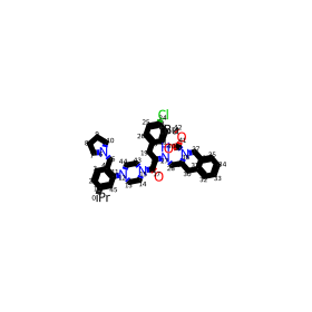 CC(C)c1ccc(CN2CCCC2)c(N2CCN(C(=O)C(Cc3ccc(Cl)cc3)NCC3Cc4ccccc4CN3C(=O)OC(C)(C)C)CC2)c1